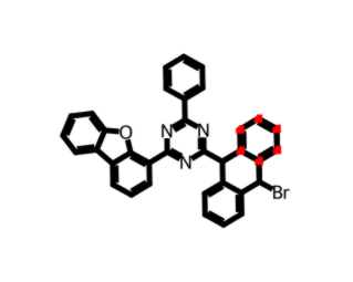 BrC12c3ccccc3C(c3nc(-c4ccccc4)nc(-c4cccc5c4oc4ccccc45)n3)(c3ccccc31)c1ccccc12